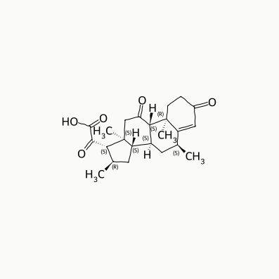 C[C@@H]1C[C@H]2[C@@H]3C[C@H](C)C4=CC(=O)CC[C@]4(C)[C@H]3C(=O)C[C@]2(C)[C@H]1C(=O)C(=O)O